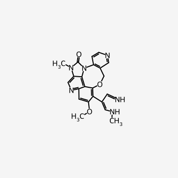 CN/C=C(\C=N)c1c(OC)cc2ncc3c4c2c1OCc1cnccc1-n4c(=O)n3C